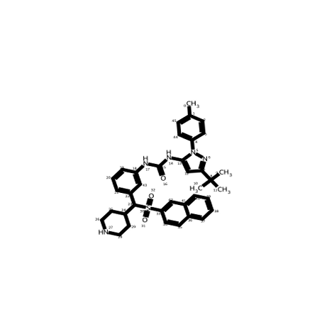 Cc1ccc(-n2nc(C(C)(C)C)cc2NC(=O)Nc2cccc(C(C3CCNCC3)S(=O)(=O)c3ccc4ccccc4c3)c2)cc1